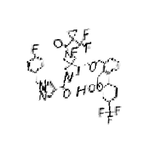 O=C(O)Cc1c(COC[C@@H]2CN(C(=O)c3cnn(Cc4ccc(F)cc4)c3)CC23CN(C(=O)C2(C(F)(F)F)CC2)C3)cccc1C1CCC(C(F)(F)F)CC1